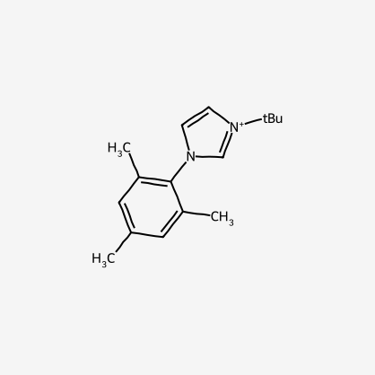 Cc1cc(C)c(-n2cc[n+](C(C)(C)C)c2)c(C)c1